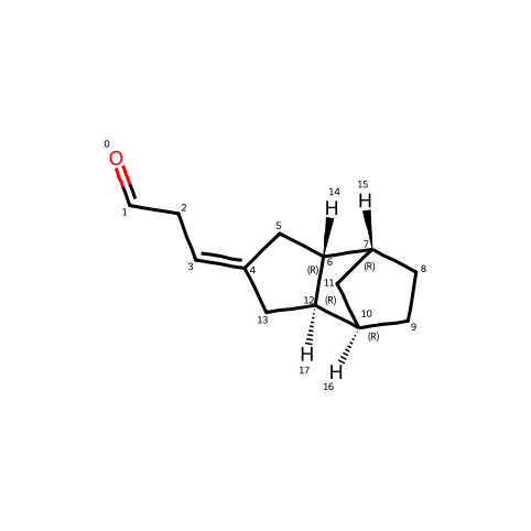 O=CCC=C1C[C@@H]2[C@@H]3CC[C@H](C3)[C@H]2C1